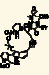 CCn1c(-c2cccnc2[C@H](C)OC)c2c3cc(ccc31)-c1csc(n1)C[C@H](NC(=O)[C@H](C(C)C)N(C)C(=O)N(C)C1(COC)COC1)C(=O)N1CCC[C@H](N1)C(=O)OCC(C)(C)C2